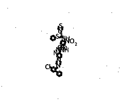 O=[N+]([O-])c1cc(S(=O)(=O)Nc2ncnc3cc(N4CCN(Cc5cc(Cl)ccc5-c5ccccc5)CC4)ccc23)ccc1N[C@H](CCN1CCSCC1)CSc1ccccc1